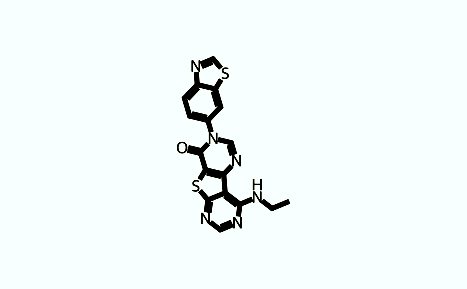 CCNc1ncnc2sc3c(=O)n(-c4ccc5ncsc5c4)cnc3c12